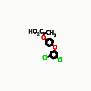 CC(Oc1ccc(Oc2cc(Cl)cc(Cl)c2)cc1)C(=O)O